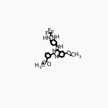 CCOc1ccc2nc(-c3cccc(C(=O)OC)c3)nc(Nc3ccc4c(c3)NC(C(F)(F)F)N4)c2c1